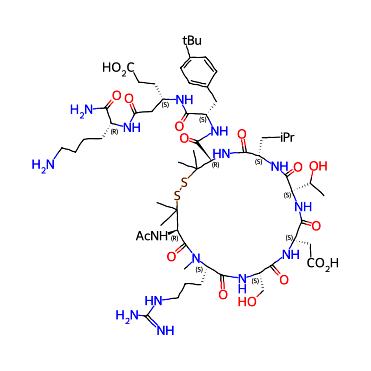 CC(=O)N[C@@H]1C(=O)N(C)[C@@H](CCCNC(=N)N)C(=O)N[C@@H](CO)C(=O)N[C@@H](CC(=O)O)C(=O)N[C@@H](C(C)O)C(=O)N[C@@H](CC(C)C)C(=O)N[C@H](C(=O)N[C@@H](Cc2ccc(C(C)(C)C)cc2)C(=O)N[C@@H](CCC(=O)O)CC(=O)N[C@H](CCCCN)C(N)=O)C(C)(C)SSC1(C)C